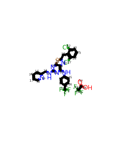 FC(F)(F)c1ccc(Nc2nc(NCc3ccccn3)nc3sc(Cc4c(Cl)cccc4Cl)nc23)cc1.O=C(O)C(F)(F)F